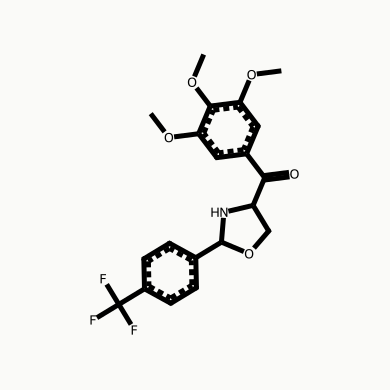 COc1cc(C(=O)C2COC(c3ccc(C(F)(F)F)cc3)N2)cc(OC)c1OC